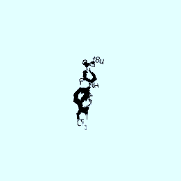 CC(C)(C)OC(=O)N1CC[C@@H](Nc2cccc3c(CC(F)(F)F)c(I)sc23)[C@@H](F)C1